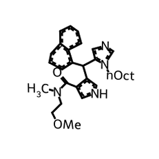 CCCCCCCCn1cncc1C(c1c[nH]cc1C(=O)N(C)CCOC)c1cccc2ccccc12